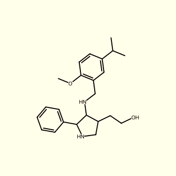 COc1ccc(C(C)C)cc1CNC1C(CCO)CNC1c1ccccc1